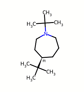 CC(C)(C)[C@@H]1CCCN(C(C)(C)C)CC1